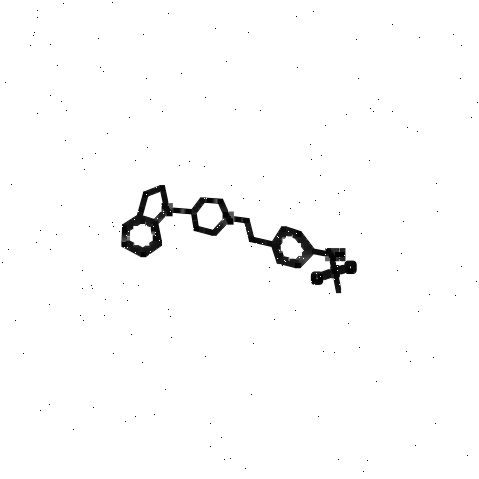 CS(=O)(=O)Nc1ccc(CCN2CCC(N3CCc4ccccc43)CC2)cc1